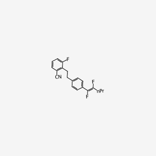 CCC/C(F)=C(\F)c1ccc(CCc2c(F)cccc2C#N)cc1